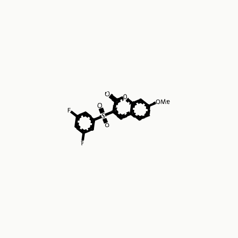 COc1ccc2cc(S(=O)(=O)c3cc(F)cc(F)c3)c(=O)oc2c1